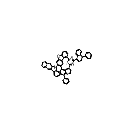 c1ccc(-c2ccc(-c3cc4c(cc3-n3c5ccccc5c5cc6ccccc6cc53)oc3cccc(-c5nc(-c6ccccc6)nc(-c6ccc(-c7ccccc7)c7ccccc67)n5)c34)cc2)cc1